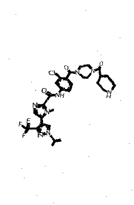 CC(C)n1cc(-c2cnc(C(=O)Nc3ccc(C(=O)N4CCN(C(=O)C5CCNCC5)CC4)c(Cl)c3)n2C)c(C(F)(F)F)n1